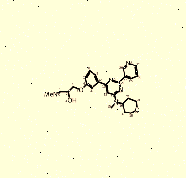 CNCC(O)COc1cccc(-c2cc(N(C)C3CCOCC3)nc(-c3cccnc3)n2)c1